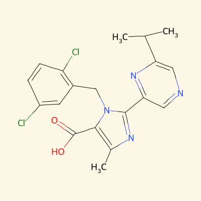 Cc1nc(-c2cncc(C(C)C)n2)n(Cc2cc(Cl)ccc2Cl)c1C(=O)O